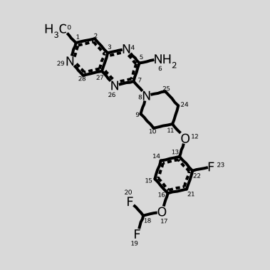 Cc1cc2nc(N)c(N3CCC(Oc4ccc(OC(F)F)cc4F)CC3)nc2cn1